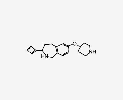 C1=CC(C2CCc3cc(OC4CCNCC4)ccc3CN2)=C1